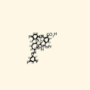 CCC[C@@H](NC(=O)N1NC(=NOc2cc(F)cc(F)c2)CC[C@H](Cc2cc(Cl)ccc2F)C1=O)c1ccc(C(=O)O)c(N)c1